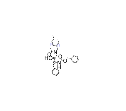 C/C=C(\C=C/CC)CN(C[C@@H](O)[C@H](Cc1ccccc1)NC(=O)OCc1ccccc1)C(C)=O